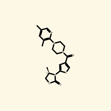 Cc1cnc(N2CCN(C(=O)c3csc(N4C(=O)OC[C@H]4C)c3)CC2)c(C)c1